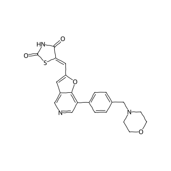 O=C1NC(=O)/C(=C/c2cc3cncc(-c4ccc(CN5CCOCC5)cc4)c3o2)S1